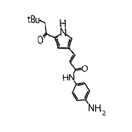 CC(C)(C)CC(=O)c1cc(/C=C/C(=O)Nc2ccc(N)cc2)c[nH]1